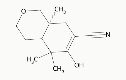 CC1(C)C(O)=C(C#N)C[C@]2(C)COCCC12